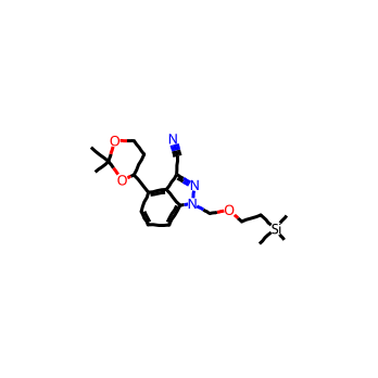 CC1(C)OCCC(c2cccc3c2c(C#N)nn3COCC[Si](C)(C)C)O1